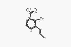 C/C=C/c1cccc(C([O])=O)c1CC